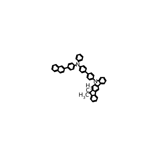 CC1(C)c2ccccc2-c2cc3c4ccccc4n(-c4ccc(-c5ccc(N(c6ccccc6)c6ccc(-c7ccc8ccccc8c7)cc6)cc5)cc4)c3cc21